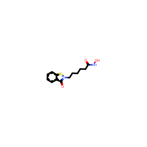 O=C(CCCCCn1sc2ccccc2c1=O)NO